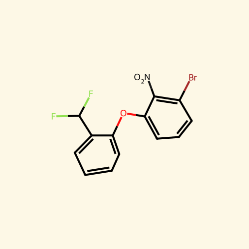 O=[N+]([O-])c1c(Br)cccc1Oc1ccccc1C(F)F